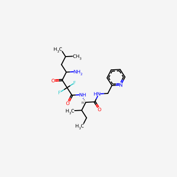 CCC(C)[C@H](NC(=O)C(F)(F)C(=O)C(N)CC(C)C)C(=O)NCc1ccccn1